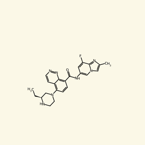 CC[C@H]1CN(c2ccc(C(=O)Nc3cc(F)c4nc(C)cn4c3)c3nnccc23)CCN1